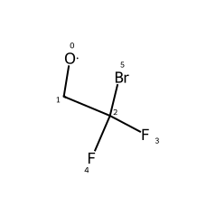 [O]CC(F)(F)Br